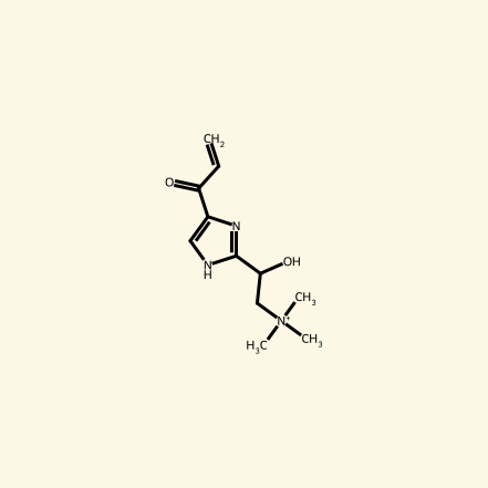 C=CC(=O)c1c[nH]c(C(O)C[N+](C)(C)C)n1